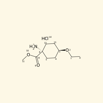 CCO[C@H]1CC[C@@](N)(C(=O)OC)CC1.Cl